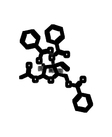 C=C[C@@]1(OC(=O)c2ccccc2)[C@@H](COC(=O)c2ccccc2)OC(OC(C)=O)[C@@H]1OC(=O)c1ccccc1